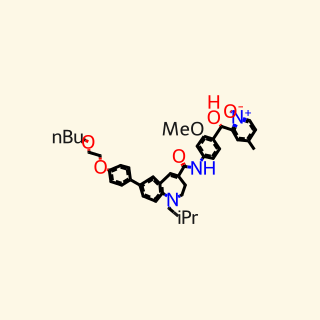 CCCCOCCOc1ccc(-c2ccc3c(c2)C=C(C(=O)Nc2ccc(C(O)c4cc(C)cc[n+]4[O-])c(OC)c2)CCN3CC(C)C)cc1